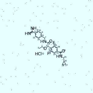 CCOC(C(=O)NCc1ccc(C(=N)N)cc1)c1c(F)cc(C(=O)NCC2CC2)cc1F.Cl